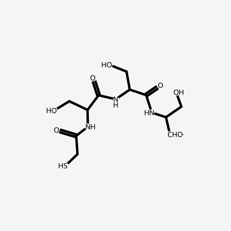 O=[C]C(CO)NC(=O)C(CO)NC(=O)C(CO)NC(=O)CS